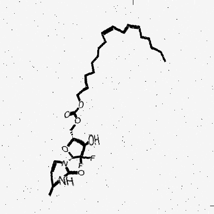 CCCCC/C=C\C/C=C\CCCCCCCCOC(=O)OC[C@H]1O[C@@H](N2C=CC(C)NC2=O)C(F)(F)[C@@H]1O